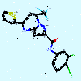 O=C(Nc1ccc(Cl)c(Cl)c1)c1cc2nc(-c3cccs3)cc(C(F)(F)F)n2n1